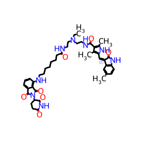 CCN(CCNC(=O)CCCCCCCNc1cccc2c1C(=O)N(C1CCC(=O)NC1=O)C2=O)CCNC(=O)c1c(C)[nH]c(/C=C2\C(=O)Nc3ccc(C)cc32)c1C